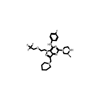 C[C@H]1CN(c2nc(Nc3ccc(F)cc3)c3c(n2)c(CN2CCCCC2)nn3CCOCC(F)(F)F)CCN1